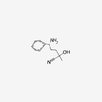 CC(O)(C#N)CC[C@@H](N)c1ccccc1